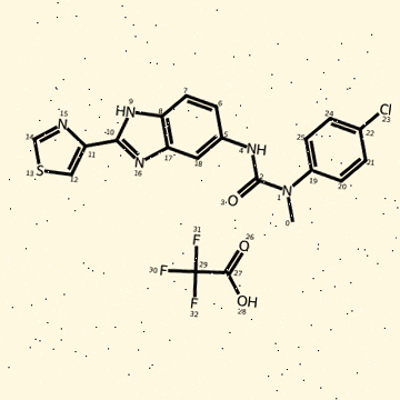 CN(C(=O)Nc1ccc2[nH]c(-c3cscn3)nc2c1)c1ccc(Cl)cc1.O=C(O)C(F)(F)F